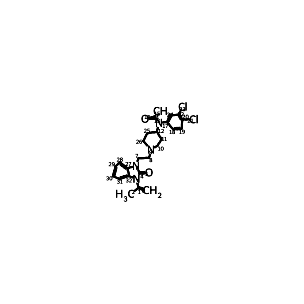 C=C(C)n1c(=O)n(CCN2CCC(N(C(C)=O)c3ccc(Cl)c(Cl)c3)CC2)c2ccccc21